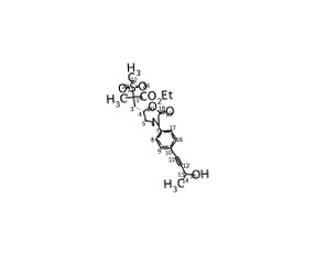 CCOC(=O)C(C)(C[C@H]1CN(c2ccc(C#CC(C)O)cc2)C(=O)O1)S(C)(=O)=O